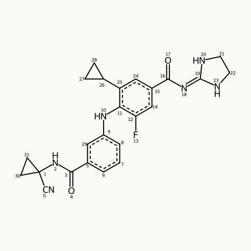 N#CC1(NC(=O)c2cccc(Nc3c(F)cc(C(=O)N=C4NCCN4)cc3C3CC3)c2)CC1